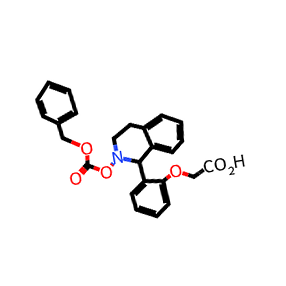 O=C(O)COc1ccccc1C1c2ccccc2CCN1OC(=O)OCc1ccccc1